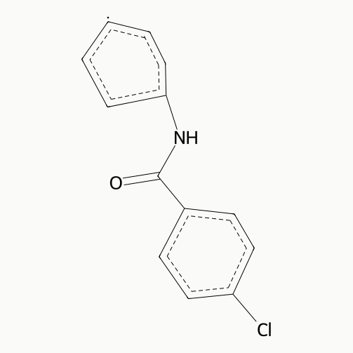 O=C(Nc1cc[c]cc1)c1ccc(Cl)cc1